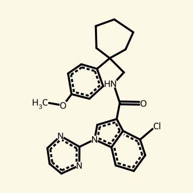 COc1ccc(C2(CNC(=O)c3cn(-c4ncccn4)c4cccc(Cl)c34)CCCCC2)cc1